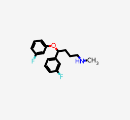 CNCCCC(Oc1cccc(F)c1)c1cccc(F)c1